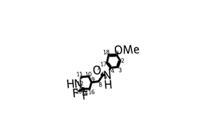 COc1ccc(NC(=O)CC2CCNC(F)(F)C2)cc1